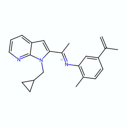 C=C(C)c1ccc(C)c(/N=C(\C)c2cc3cccnc3n2CC2CC2)c1